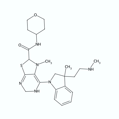 CNCCC1(C)CN(C2=C3C(=NCN2)SC(C(=O)NC2CCOCC2)N3C)c2ccccc21